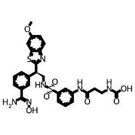 COc1ccc2nc([C@@H](CNS(=O)(=O)c3cccc(NC(=O)CCNC(=O)O)c3)c3cccc(C(N)=NO)c3)sc2c1